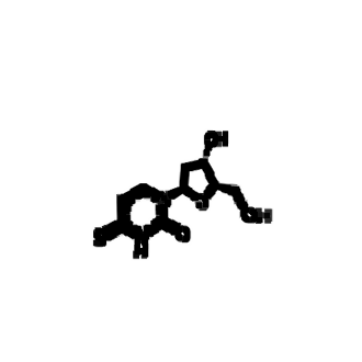 O=c1[nH]c(=S)ccn1[C@H]1C[C@H](O)[C@@H](CO)O1